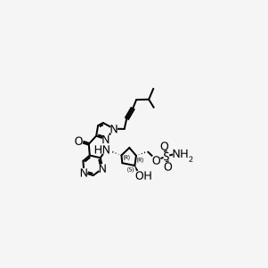 CC(C)CC#CCn1ccc(C(=O)c2cncnc2N[C@@H]2C[C@H](COS(N)(=O)=O)[C@@H](O)C2)n1